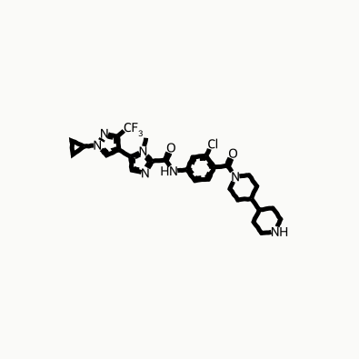 Cn1c(-c2cn(C3CC3)nc2C(F)(F)F)cnc1C(=O)Nc1ccc(C(=O)N2CCC(C3CCNCC3)CC2)c(Cl)c1